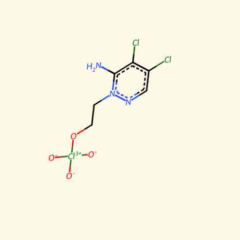 Nc1c(Cl)c(Cl)cn[n+]1CCO[Cl+3]([O-])([O-])[O-]